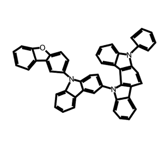 c1ccc(-n2c3ccccc3c3c2ccc2c4ccccc4n(-c4ccc5c(c4)c4ccccc4n5-c4ccc5oc6ccccc6c5c4)c23)cc1